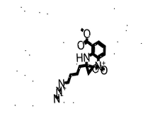 COC(=O)c1cccc([N+](=O)[O-])c1NC1(CCCCN=[N+]=[N-])CC1